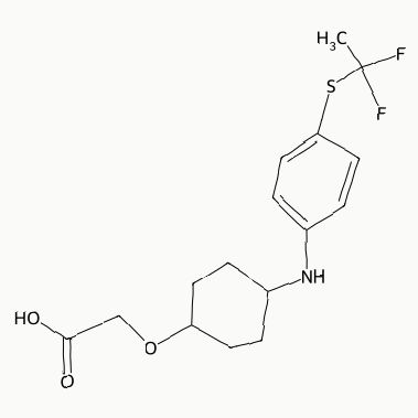 CC(F)(F)Sc1ccc(NC2CCC(OCC(=O)O)CC2)cc1